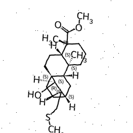 COC(=O)[C@]1(C)CCC[C@@]2(C)[C@@H]3C[C@@H]4CC[C@@]3(CC[C@@H]21)[C@H](O)[C@H]4CSC